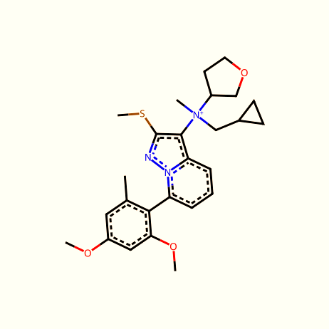 COc1cc(C)c(-c2cccc3c([N+](C)(CC4CC4)C4CCOC4)c(SC)nn23)c(OC)c1